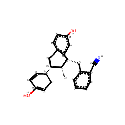 C[C@H]1[C@@H](Cc2ccccc2C#N)c2cc(O)ccc2C[C@H]1C1C=CC(O)=CC1